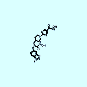 Cn1nnc2cc(CN(CC3CCN(c4ncc(C(=O)NO)cn4)CC3)C(=O)NO)ccc21